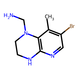 Cc1c(Br)cnc2c1N(CN)CCN2